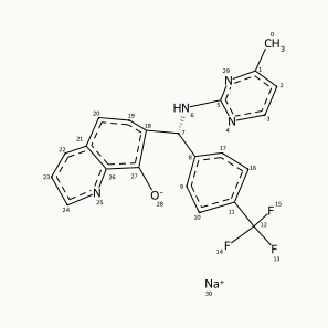 Cc1ccnc(N[C@H](c2ccc(C(F)(F)F)cc2)c2ccc3cccnc3c2[O-])n1.[Na+]